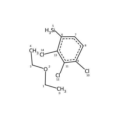 CCOCC.[SiH3]c1ccc(Cl)c(Cl)c1Cl